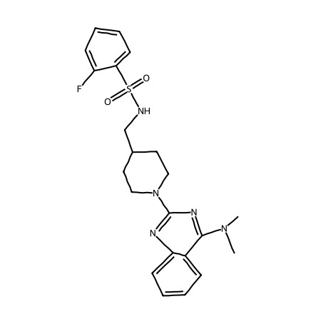 CN(C)c1nc(N2CCC(CNS(=O)(=O)c3ccccc3F)CC2)nc2ccccc12